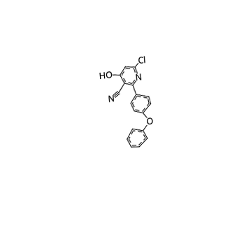 N#Cc1c(O)cc(Cl)nc1-c1ccc(Oc2ccccc2)cc1